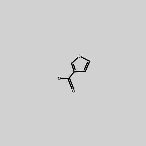 [O]C(=O)c1ccsc1